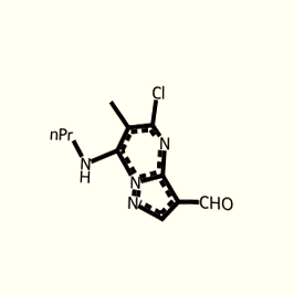 CCCNc1c(C)c(Cl)nc2c(C=O)cnn12